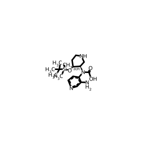 CC(C)(C)[Si](C)(C)O[C@@H]1CCNC[C@H]1N(C(=O)O)c1ccncc1N